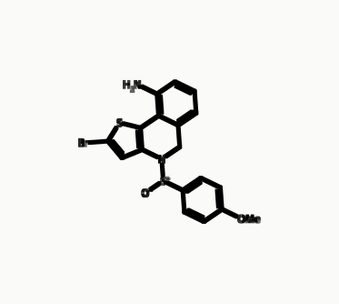 COc1ccc([S+]([O-])N2Cc3cccc(N)c3-c3sc(Br)cc32)cc1